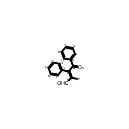 C/C([C]=O)=C(\C(=O)c1ccccc1)c1ccccc1